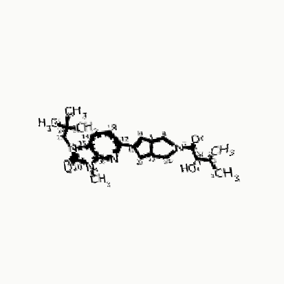 CC(C)[C@H](O)C(=O)N1CC2C=C(c3ccc4c(n3)n(C)c(=O)n4CC(C)(C)C)CC2C1